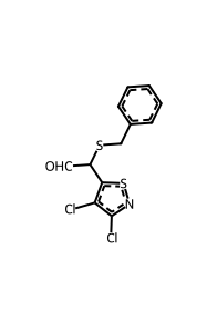 O=CC(SCc1ccccc1)c1snc(Cl)c1Cl